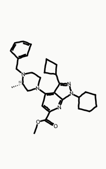 COC(=O)c1cc(N2CCN(Cc3ccccc3)[C@@H](C)C2)c2c(C3CCC3)nn(C3CCCCC3)c2n1